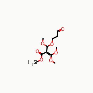 COC(OC)=C(C(=O)O[SiH3])C(OC)OCCC=O